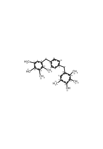 Cc1cc(Cc2ccc(Cc3cc(C)c(O)c(C)c3C)cc2)c(C)c(C)c1O